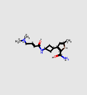 Cc1cc(C2CC(NC(=O)C=CCN(C)C)C2)c(C(N)=O)s1